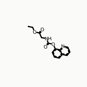 CCOC(=O)CNC(=O)Oc1cccc2cccnc12